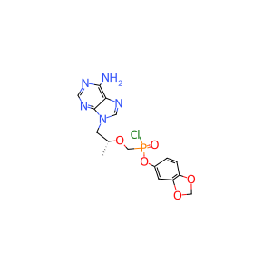 C[C@H](Cn1cnc2c(N)ncnc21)OCP(=O)(Cl)Oc1ccc2c(c1)OCO2